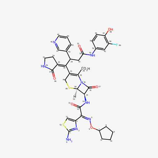 Nc1nc(C(=NOC2CCCC2)C(=O)N[C@@H]2C(=O)N3C(C(=O)O)=C(C(=C4CCNC4=O)C(CC(=O)Nc4ccc(O)c(F)c4)c4cccnc4)CS[C@H]23)cs1